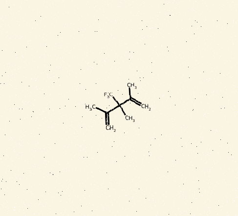 C=C(C)C(C)(C(=C)C)C(F)(F)F